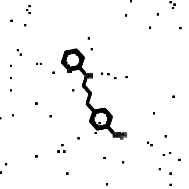 O=C(O)c1ccc(CCCNc2ccccn2)cc1